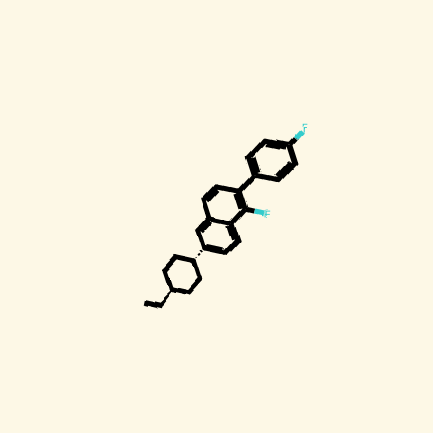 CC[C@H]1CC[C@H](c2ccc3c(F)c(-c4ccc(F)cc4)ccc3c2)CC1